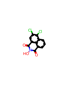 O=C1c2cccc3c(Cl)c(Cl)cc(c23)C(=O)N1O